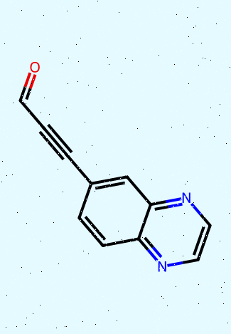 O=CC#Cc1ccc2nccnc2c1